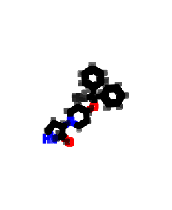 CC(C)(C)[Si](OC1CCN(C2CCNC2=O)CC1)(c1ccccc1)c1ccccc1